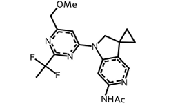 COCc1cc(N2CC3(CC3)c3cnc(NC(C)=O)cc32)nc(C(C)(F)F)n1